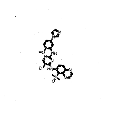 COc1ccc(-n2ccnc2)cc1Nc1ncc(Br)c(Nc2ccc3nccnc3c2P(C)(C)=O)n1